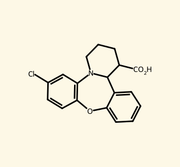 O=C(O)C1CCCN2c3cc(Cl)ccc3Oc3ccccc3C12